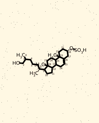 CC(CO)CCC[C@@H](C)C1CCC2C3CC=C4C[C@@H](OS(=O)(=O)O)CCC4(C)C3CCC21C